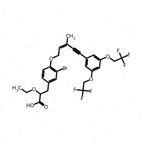 CCOC(Cc1ccc(OCC=C(C)C#Cc2cc(OCC(F)(F)F)cc(OCC(F)(F)F)c2)c(Br)c1)C(=O)O